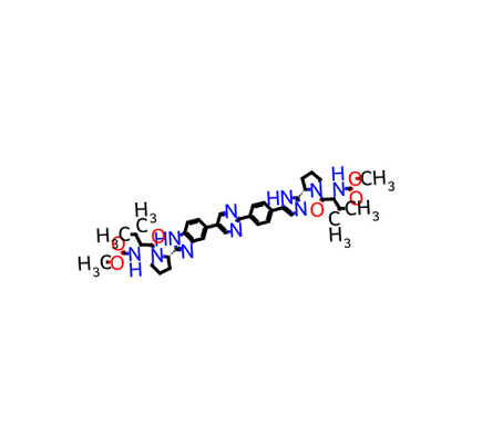 COC(=O)N[C@H](C(=O)N1CCC[C@H]1c1ncc(-c2ccc(-c3ncc(-c4ccc5[nH]c([C@@H]6CCCN6C(=O)[C@@H](NC(=O)OC)C(C)C)nc5c4)cn3)cc2)[nH]1)C(C)C